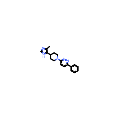 Cc1nc[nH]c1C1CCN(c2ccc(-c3ccccc3)nn2)CC1